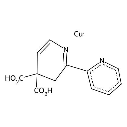 O=C(O)C1(C(=O)O)C=CN=C(c2ccccn2)C1.[Cu]